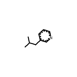 CC(C)[CH]c1cccnc1